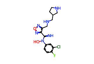 N=C(c1nonc1CNCC1CCNC1)N(O)c1ccc(F)c(Cl)c1